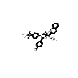 COC(c1ccc2ccccc2n1)C1(O)CN(c2ccc(S(N)(=O)=O)cc2)C(c2ccc(Cl)cc2)=N1